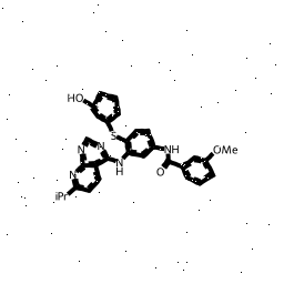 COc1cccc(C(=O)Nc2ccc(Sc3cccc(O)c3)c(Nc3ncnc4nc(C(C)C)ccc34)c2)c1